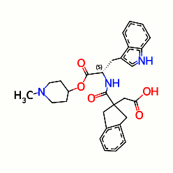 CN1CCC(OC(=O)[C@H](Cc2c[nH]c3ccccc23)NC(=O)C2(CC(=O)O)Cc3ccccc3C2)CC1